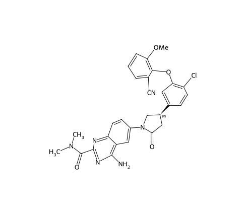 COc1cccc(C#N)c1Oc1cc([C@H]2CC(=O)N(c3ccc4nc(C(=O)N(C)C)nc(N)c4c3)C2)ccc1Cl